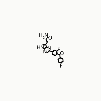 NC(=O)C=Cc1c[nH]c2ncc(-c3ccc(C(=O)c4ccc(F)cc4)c(F)c3)nc12